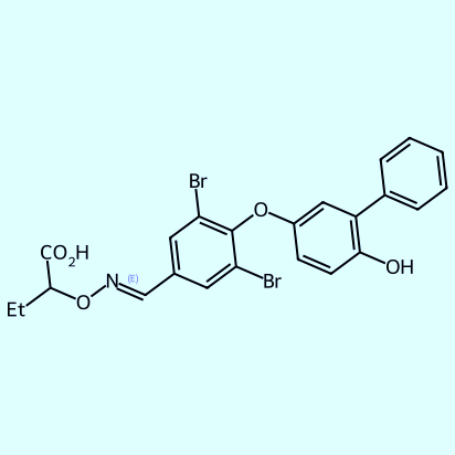 CCC(O/N=C/c1cc(Br)c(Oc2ccc(O)c(-c3ccccc3)c2)c(Br)c1)C(=O)O